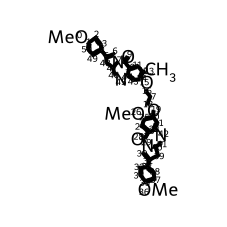 COc1ccc(C2=CN3C(=O)c4cc(C)c(OCCCOc5cc6c(cc5OC)C(=O)N5C=C(c7ccc(OC)cc7)CC5C=N6)cc4N=CC3C2)cc1